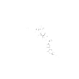 CC(C)(Oc1ccc(CCC(=O)c2cc(-c3ccc(C(F)(F)F)cc3)cs2)c(Cl)c1Cl)C(=O)O